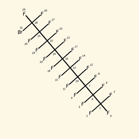 FC(F)(F)C(F)(F)C(F)(F)C(F)(F)C(F)(F)C(F)(F)C(F)(F)C(F)(F)C(F)(F)C(F)(F)Br